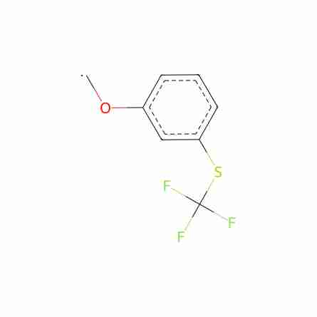 [CH2]Oc1cccc(SC(F)(F)F)c1